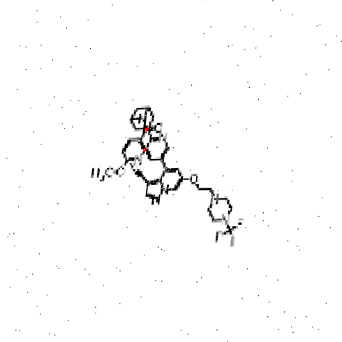 COc1ccc(C(=O)N2C3CC2CN(c2ccc(-c4cc(OCCN5CCN(C(F)(F)F)CC5)cn5ncc(C#N)c45)cn2)C3)cn1